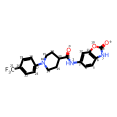 O=C(Nc1ccc2[nH]c(=O)oc2c1)C1CCN(c2ccc(C(F)(F)F)cc2)CC1